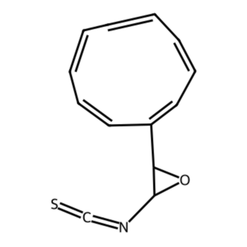 S=C=NC1OC1c1ccccccccc1